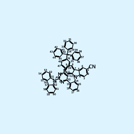 N#Cc1ccc2c(c1)c1ccccc1n2-c1ccccc1-c1cc(-c2ccc(C(c3ccccc3)(c3ccccc3)c3ccccc3)cc2)nc(-n2c3ccccc3c3ccccc32)n1